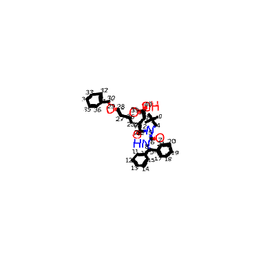 CC(C)(C)CN(C(=O)NC(c1ccccc1)c1ccccc1)C(=O)[C@H](CCCCOCc1ccccc1)CC(=O)O